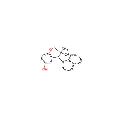 CC1(C)COc2ccc(O)cc2C1c1cccc2ccccc12